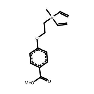 C=C[Si](C)(C=C)CCOc1ccc(C(=O)OC)cc1